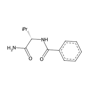 CC(C)[C@H](NC(=O)c1ccccc1)C(N)=O